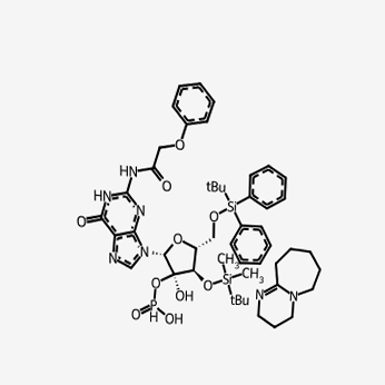 C1CCC2=NCCCN2CC1.CC(C)(C)[Si](C)(C)O[C@@H]1[C@@H](CO[Si](c2ccccc2)(c2ccccc2)C(C)(C)C)O[C@@H](n2cnc3c(=O)[nH]c(NC(=O)COc4ccccc4)nc32)[C@]1(O)O[PH](=O)O